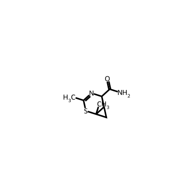 CC1=NC(C(N)=O)C2CC2(C)S1